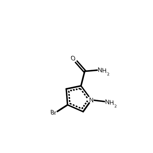 NC(=O)c1cc(Br)cn1N